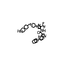 O=C(Nc1cn(C2CCN(CC3CCC4(CCNCC4)CC3)CC2)nc1C(F)F)c1cnn2ccc(N3CC4CCC(C3)O4)nc12